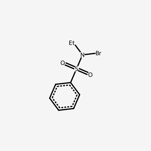 CCN(Br)S(=O)(=O)c1ccccc1